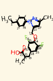 CCc1ccc(-n2nc(C)cc2COc2c(F)cc(C[C@@H](C)C(=O)O)cc2F)cc1